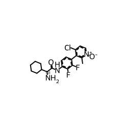 Cc1c(-c2ccc(NC(=O)[C@@H](N)C3CCCCC3)c(F)c2F)c(Cl)cc[n+]1[O-]